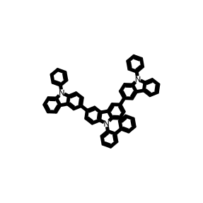 C1=CC(n2c3ccccc3c3cc(-c4ccc5c(c4)c4cc(-c6ccc7c(c6)c6ccccc6n7-c6ccccc6)ccc4n5-c4ccccc4-c4ccccc4)ccc32)=CCC1